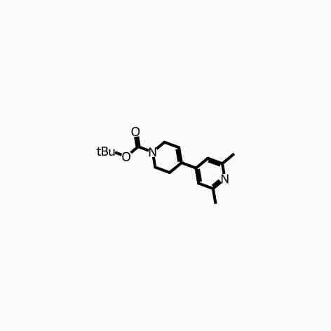 Cc1cc(C2=CCN(C(=O)OC(C)(C)C)CC2)cc(C)n1